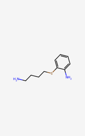 NCCCCSc1ccccc1N